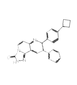 O=c1[nH]nc2c3c(ccn12)=NC(c1c#cc(C2CCC2)cc1)C(c1ccccc1)C=3